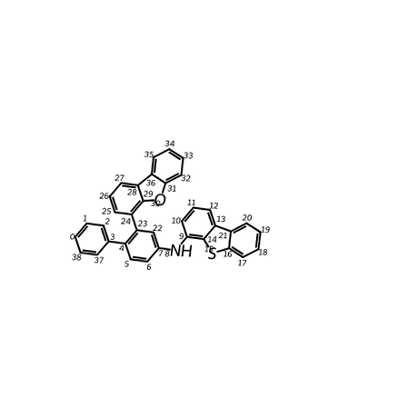 c1ccc(-c2ccc(Nc3cccc4c3sc3ccccc34)cc2-c2cccc3c2oc2ccccc23)cc1